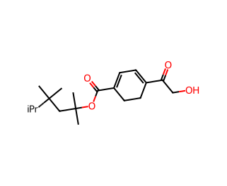 CC(C)C(C)(C)CC(C)(C)OC(=O)C1=CC=C(C(=O)CO)CC1